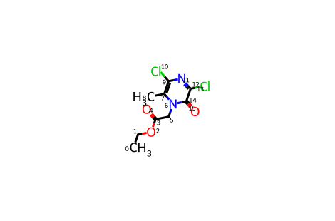 CCOC(=O)Cn1c(C)c(Cl)nc(Cl)c1=O